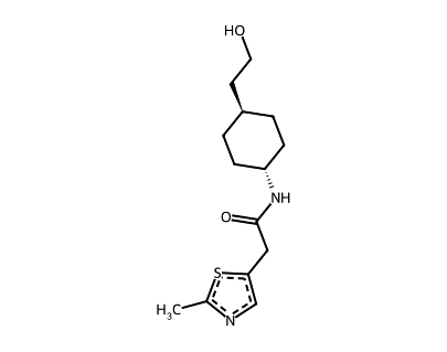 Cc1ncc(CC(=O)N[C@H]2CC[C@H](CCO)CC2)s1